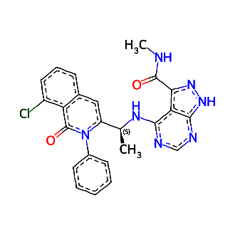 CNC(=O)c1n[nH]c2ncnc(N[C@@H](C)c3cc4cccc(Cl)c4c(=O)n3-c3ccccc3)c12